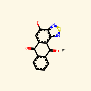 O=C1c2ccccc2C(=O)c2c1cc([O-])c1nsnc21.[K+]